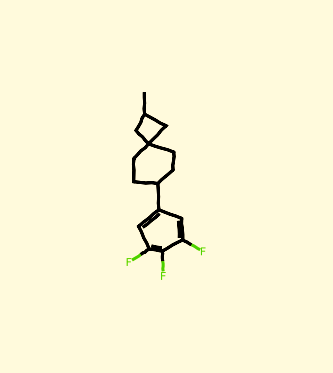 CC1CC2(CCC(c3cc(F)c(F)c(F)c3)CC2)C1